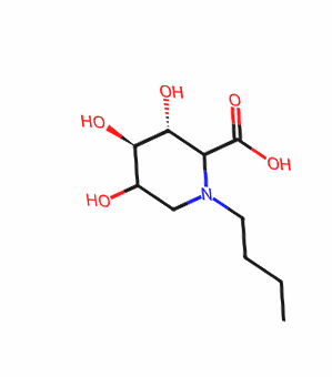 CCCCN1CC(O)[C@@H](O)[C@H](O)C1C(=O)O